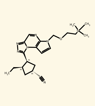 CC[C@@H]1C[C@@H](C#N)C[C@@H]1c1nnc2cnc3c(ccn3COCC[Si](C)(C)C)n12